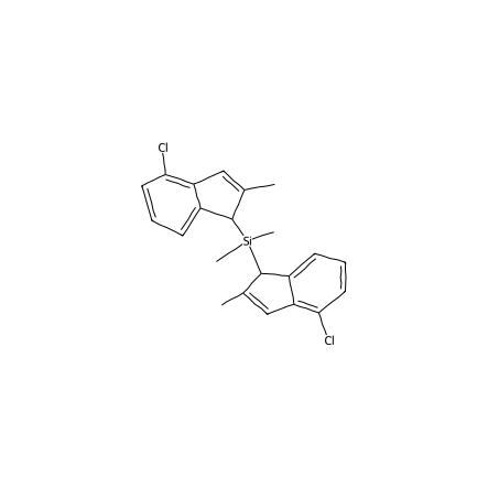 CC1=Cc2c(Cl)cccc2C1[Si](C)(C)C1C(C)=Cc2c(Cl)cccc21